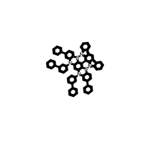 c1ccc(-c2cccc(N3c4cc(-c5ccccc5)ccc4B4c5c3cc3c6c5-c5c7c(cc8c9ccccc9n(c58)B6c5ccc(-c6ccccc6)cc5N3c3cccc(-c5ccccc5)c3)c3ccccc3n74)c2)cc1